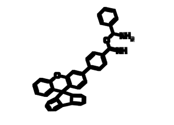 N=C(OC(N)c1ccccc1)c1ccc(-c2ccc3c(c2)Oc2ccccc2C32c3ccccc3-c3ccccc32)cc1